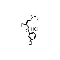 Cl.NC/C=C(/F)COc1cccc(Cl)c1